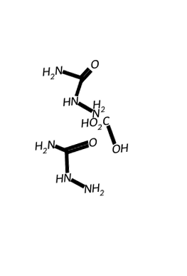 NNC(N)=O.NNC(N)=O.O=C(O)O